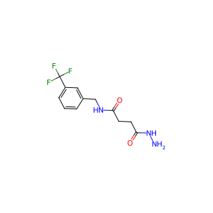 NNC(=O)CCC(=O)NCc1cccc(C(F)(F)F)c1